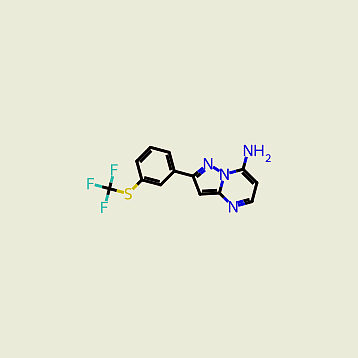 Nc1ccnc2cc(-c3cccc(SC(F)(F)F)c3)nn12